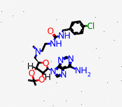 CN(CCNC(=O)NCc1ccc(Cl)cc1)C[C@H]1O[C@@H](n2cnc3c(N)ncnc32)[C@@H]2OC(C)(C)O[C@@H]21